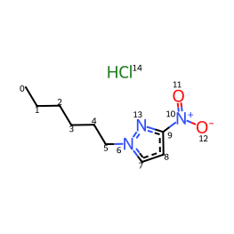 CCCCCCn1ccc([N+](=O)[O-])n1.Cl